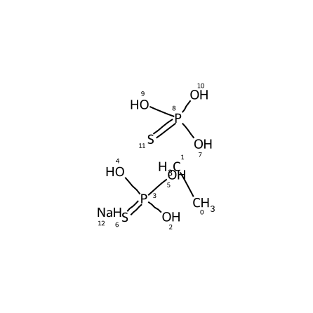 CC.OP(O)(O)=S.OP(O)(O)=S.[NaH]